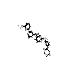 Cc1cccc(-c2nccc(Nc3ccnc(Nc4ncc(N5CCOCC5)s4)n3)n2)n1